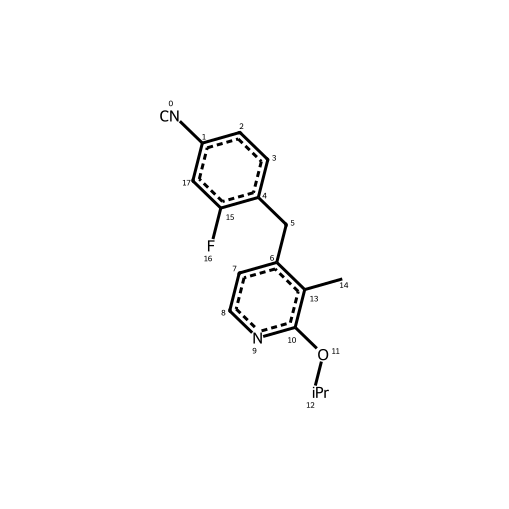 [C-]#[N+]c1ccc(Cc2ccnc(OC(C)C)c2C)c(F)c1